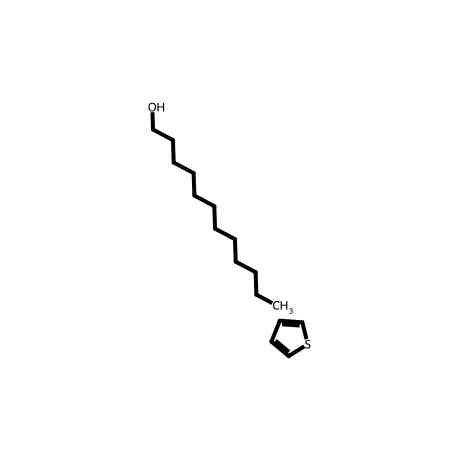 CCCCCCCCCCCCO.c1ccsc1